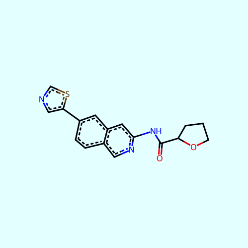 O=C(Nc1cc2cc(-c3cncs3)ccc2cn1)C1CCCO1